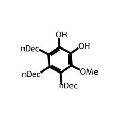 CCCCCCCCCCc1c(O)c(O)c(OC)c(CCCCCCCCCC)c1CCCCCCCCCC